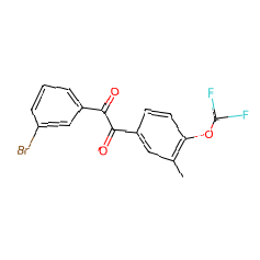 Cc1cc(C(=O)C(=O)c2cccc(Br)c2)ccc1OC(F)F